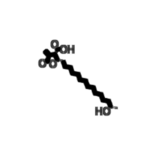 C=C1C(=O)O[C@@H](CCCCCCCCCCCCC[C@H](C)O)[C@@H]1C(=O)O